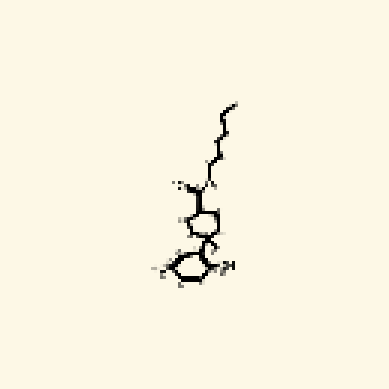 CCCCCCOC(=O)C1CCC(C)(c2cc(O)ccc2O)CC1